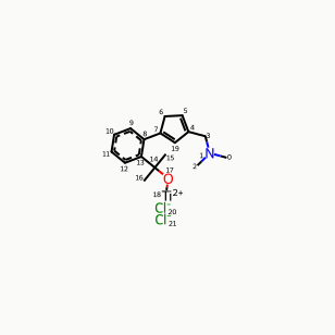 CN(C)CC1=CCC(c2ccccc2C(C)(C)[O][Ti+2])=C1.[Cl-].[Cl-]